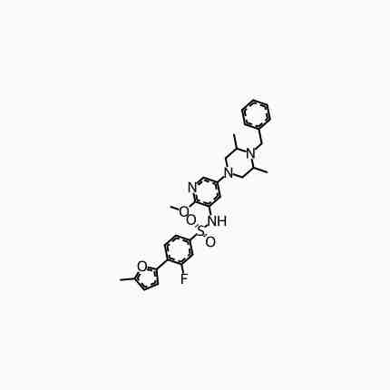 COc1ncc(N2CC(C)N(Cc3ccccc3)C(C)C2)cc1NS(=O)(=O)c1ccc(-c2ccc(C)o2)c(F)c1